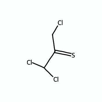 S=C(CCl)C(Cl)Cl